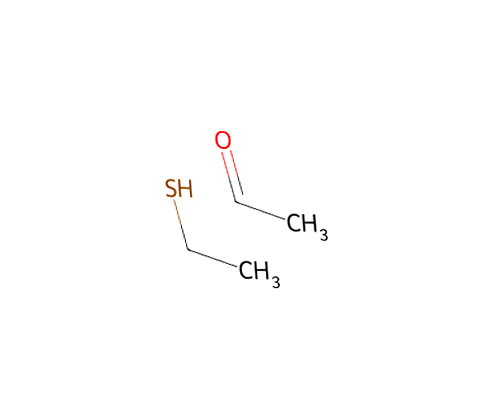 CC=O.CCS